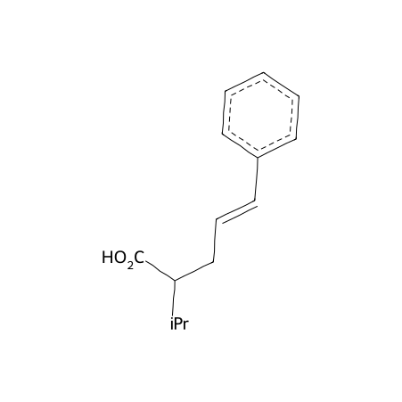 CC(C)C(C/C=C/c1ccccc1)C(=O)O